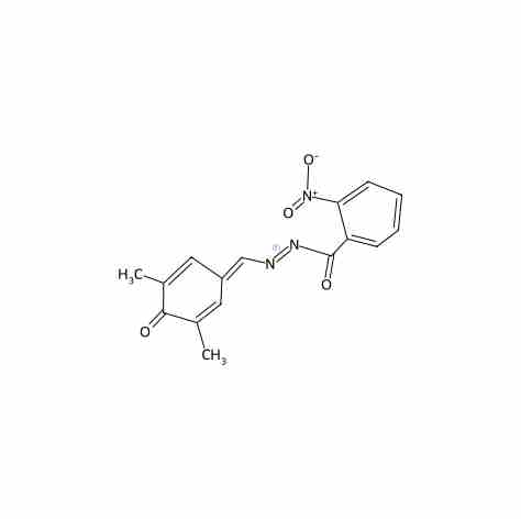 CC1=CC(=C/N=N/C(=O)c2ccccc2[N+](=O)[O-])C=C(C)C1=O